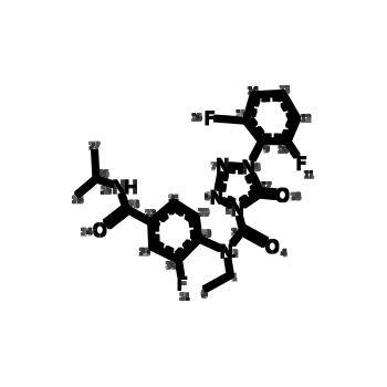 CCN(C(=O)n1nnn(-c2c(F)cccc2F)c1=O)c1ccc(C(=O)NC(C)C)cc1F